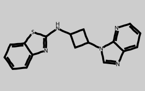 c1ccc2sc(NC3CC(n4cnc5cccnc54)C3)nc2c1